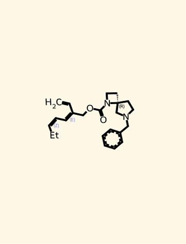 C=C/C(=C\C=C/CC)COC(=O)N1CC[C@@]12CCN(Cc1ccccc1)C2